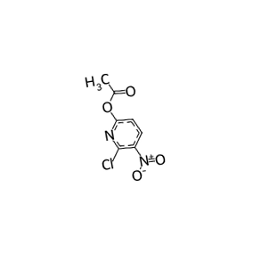 CC(=O)Oc1ccc([N+](=O)[O-])c(Cl)n1